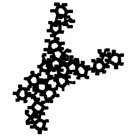 Cc1ccc(N(c2ccc(C)cc2-c2ccc3c(c2)C(C)(C)c2cc(-c4ccc5c(c4)C(C)(C)c4ccccc4-5)ccc2-3)c2c3ccccc3c(N(c3ccccc3)c3ccc4c(c3)C(C)(C)c3ccccc3-4)c3ccccc23)c(-c2ccc3c(c2)C(C)(C)c2cc(-c4ccc5c(c4)C(C)(C)c4ccccc4-5)ccc2-3)c1